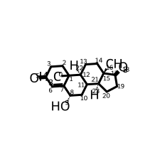 CC12CCC(=O)C=C1[C@@H](O)CC1[C@@H]2CC[C@]2(C)C(=O)CC[C@@H]12